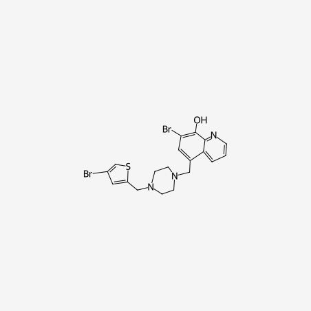 Oc1c(Br)cc(CN2CCN(Cc3cc(Br)cs3)CC2)c2cccnc12